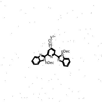 CCCCCCCCCCn1c(-c2cccc(-c3nc4ccccc4n3CCCCCCCCCC)n2)nc2ccccc21.[Cl-].[Cl-].[Cl-].[V+3]